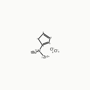 CC(C)(C)[N]([Zr+2])C1=CC=CC1.[Cl-].[Cl-]